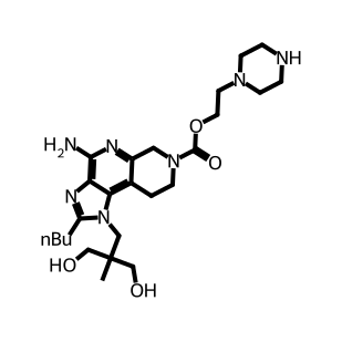 CCCCc1nc2c(N)nc3c(c2n1CC(C)(CO)CO)CCN(C(=O)OCCN1CCNCC1)C3